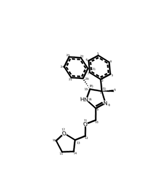 C[C@@]1(c2ccccc2)N=C(COCC2CCCO2)N[C@@H]1c1ccccc1